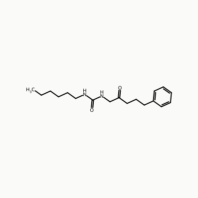 CCCCCCNC(=O)NCC(=O)CCCc1ccccc1